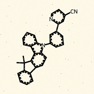 CC1(C)c2ccccc2-c2ccc3c(c21)c1ccccc1n3-c1cccc(-c2cc(C#N)ccn2)c1